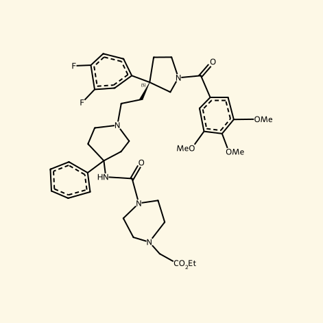 CCOC(=O)CN1CCN(C(=O)NC2(c3ccccc3)CCN(CC[C@@]3(c4ccc(F)c(F)c4)CCN(C(=O)c4cc(OC)c(OC)c(OC)c4)C3)CC2)CC1